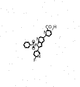 O=C(O)c1cccc(-c2cnc3c(c2)cc(-c2ccc(F)nc2)n3S(=O)(=O)c2ccccc2)n1